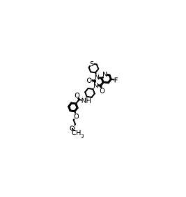 COCCOc1cccc(C(=O)N[C@H]2CC[C@@H](n3c(=O)c4cc(F)cnc4n(C4CCSCC4)c3=O)CC2)c1